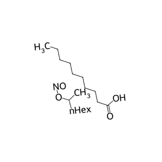 CCCCCCC(C)ON=O.CCCCCCCCCC(=O)O